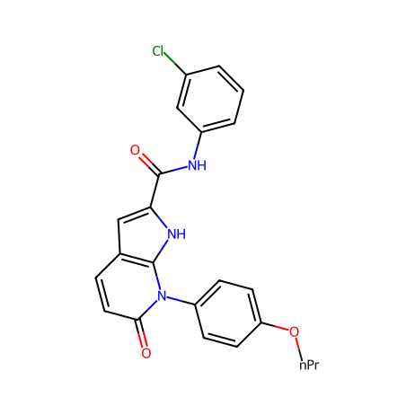 CCCOc1ccc(-n2c(=O)ccc3cc(C(=O)Nc4cccc(Cl)c4)[nH]c32)cc1